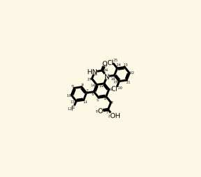 O=C(O)Cc1cc(-c2cccc(F)c2)c2c(c1)N(c1c(Cl)cccc1Cl)C(=O)NC2